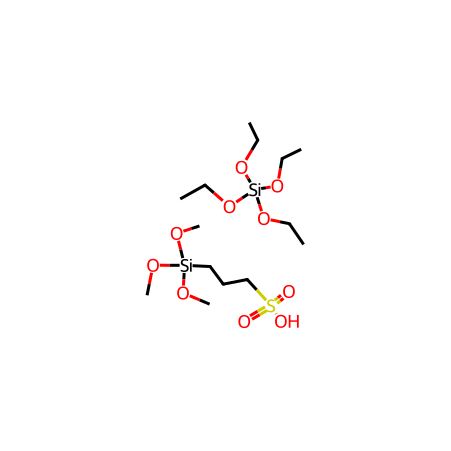 CCO[Si](OCC)(OCC)OCC.CO[Si](CCCS(=O)(=O)O)(OC)OC